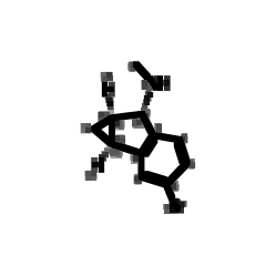 CN[C@@H]1c2ccc(Br)cc2[C@H]2C[C@H]21